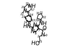 CN(CCO)C(=O)c1cnc(Nc2ccc(C3CNCCN3C)cc2)nc1NC1CCCC1